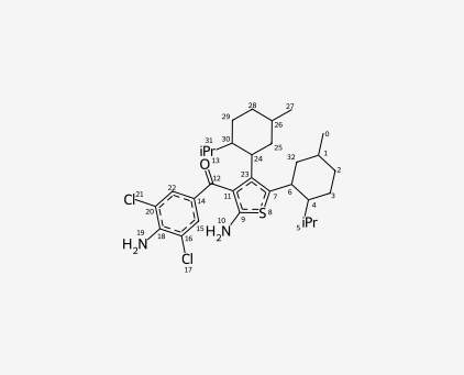 CC1CCC(C(C)C)C(c2sc(N)c(C(=O)c3cc(Cl)c(N)c(Cl)c3)c2C2CC(C)CCC2C(C)C)C1